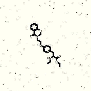 CCNC(Cc1ccc(OCCN2COc3ccccc3C2=O)cc1)C(=O)OCC